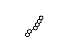 c1ccc2cc(-c3ccc4cc5cc6ccccc6cc5cc4c3)ccc2c1